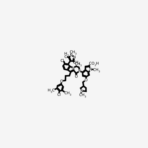 Cc1cc(OCCCc2c3n(c4c(-c5c(C)nn(C)c5C)c(Cl)ccc24)[C@H](C)CN(c2cc(OCC4CCN(C)C4)cc4c2cc(C(=O)O)n4C)C3=O)cc(C)c1Cl